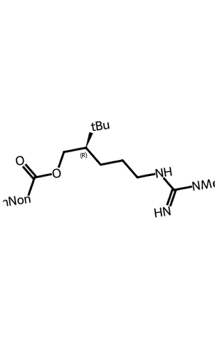 CCCCCCCCCC(=O)OC[C@H](CCCNC(=N)NC)C(C)(C)C